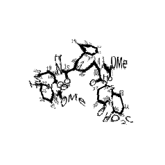 COC(=O)C[C@@H](CC[C@H](Cc1ccccc1)C(=O)N[C@H]1CCS[C@H]2CCC[C@@H](C(=O)OC)N2C1=O)C(=O)NC1CCC(=O)N2C(CCCC2C(=O)O)S1